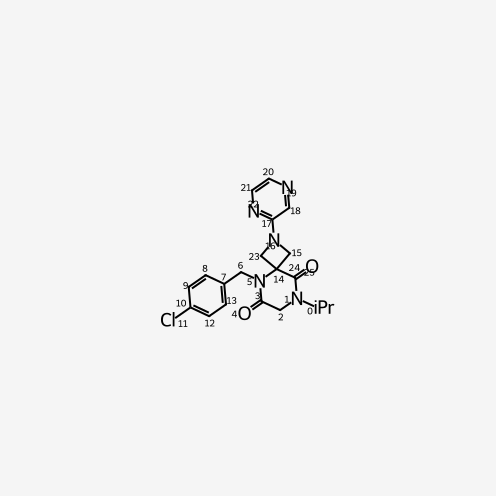 CC(C)N1CC(=O)N(Cc2ccc(Cl)cc2)C2(CN(c3cnccn3)C2)C1=O